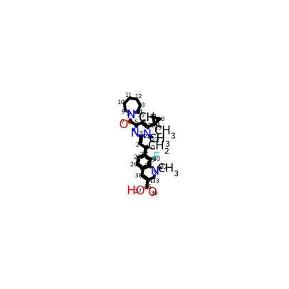 C=C(/C=C1/N=C(C(=O)N2CCCCCC2C)C=C(C2(C)CC2)N1C)c1ccc2c(c1F)N(C)CC(C(=O)O)=C2